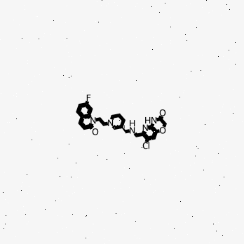 O=C1COc2cc(Cl)c(CNC[C@@H]3CCCN(CCn4c(=O)ccc5ccc(F)cc54)C3)nc2N1